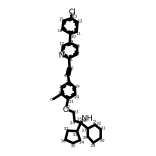 Cc1cc(C#Cc2ccc(-c3ccc(Cl)cc3)cn2)ccc1OCCC(N)(C1CCCCC1)C1CCCC1